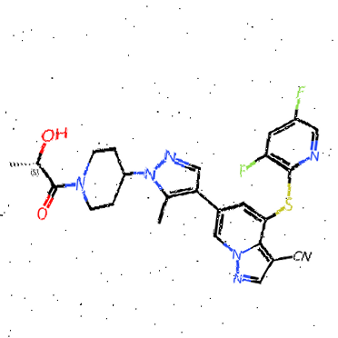 Cc1c(-c2cc(Sc3ncc(F)cc3F)c3c(C#N)cnn3c2)cnn1C1CCN(C(=O)[C@H](C)O)CC1